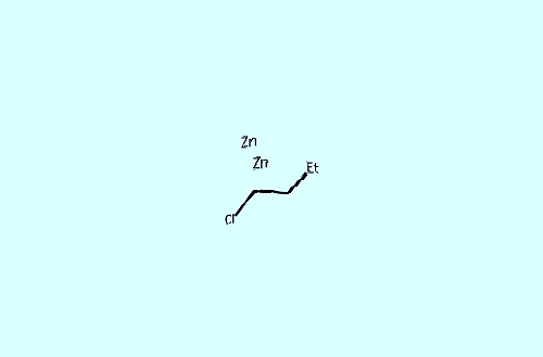 CCCCCl.[Zn].[Zn]